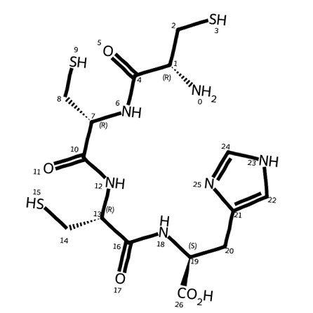 N[C@@H](CS)C(=O)N[C@@H](CS)C(=O)N[C@@H](CS)C(=O)N[C@@H](Cc1c[nH]cn1)C(=O)O